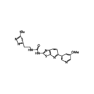 COc1cncc(-c2ccc3nc(NC(=O)NCCc4nnc(C(C)(C)C)s4)sc3n2)c1